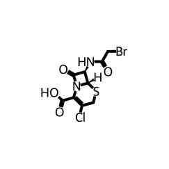 O=C(CBr)N[C@@H]1C(=O)N2C(C(=O)O)=C(Cl)CS[C@@H]12